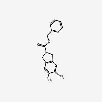 Nc1cc2c(cc1N)CN(C(=O)OCc1ccccc1)C2